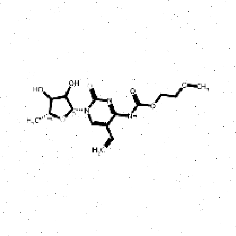 C=Cc1cn([C@@H]2O[C@H](C)C(O)C2O)c(=O)nc1NC(=O)OCCOC